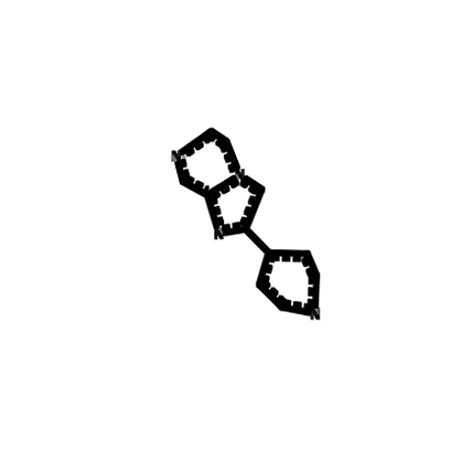 c1cc(-c2cn3ccncc3n2)ccn1